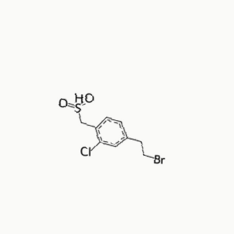 O=[SH](=O)Cc1ccc(CCBr)cc1Cl